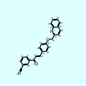 N#Cc1cccc(C(=O)/C=C/c2ccc(OCc3ccc4ccccc4n3)cc2)c1